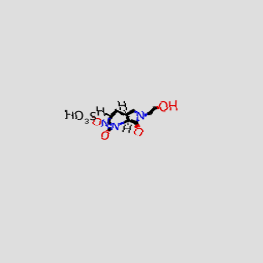 O=C1[C@@H]2[C@@H](C[C@@H]3CN2C(=O)N3OS(=O)(=O)O)CN1CCO